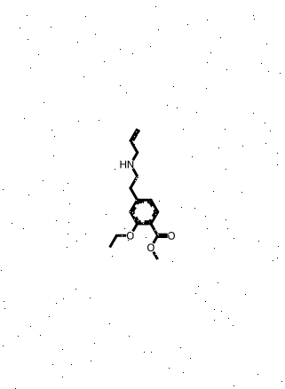 C=CCNCCc1ccc(C(=O)OC)c(OCC)c1